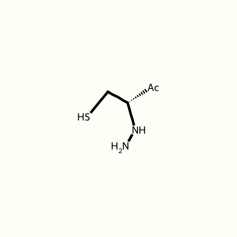 CC(=O)[C@@H](CS)NN